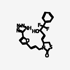 O=C1SCC(/C=C/C(O)C(F)(F)c2ccccc2)N1C/C=C/c1ccc(-c2nnn[nH]2)o1